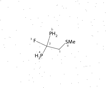 CSCC(F)(P)P